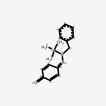 C[Si](C)(C)N(Cc1ccccc1)N=C1C=CC(=O)C=C1